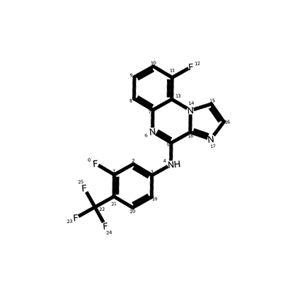 Fc1cc(Nc2nc3cccc(F)c3n3ccnc23)ccc1C(F)(F)F